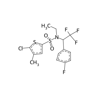 CCN(C(c1ccc(F)cc1)C(F)(F)F)S(=O)(=O)c1cc(C)c(Cl)s1